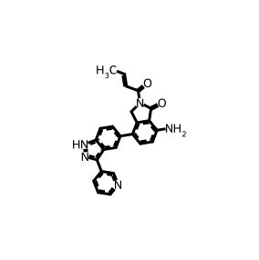 C/C=C/C(=O)N1Cc2c(-c3ccc4[nH]nc(-c5cccnc5)c4c3)ccc(N)c2C1=O